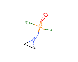 O=P(Cl)(Cl)N1CC1